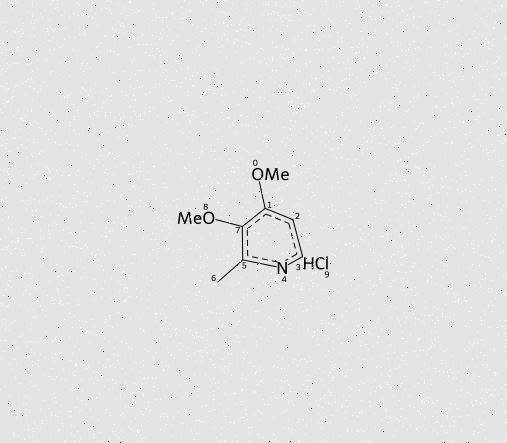 COc1ccnc(C)c1OC.Cl